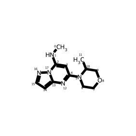 CNc1cc(N2CCOCC2C)nc2ccnn12